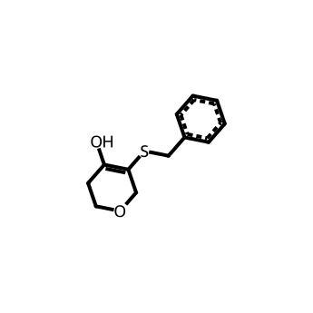 OC1=C(SCc2ccccc2)COCC1